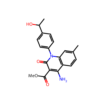 COC(=O)c1c(N)c2ccc(C)cc2n(-c2ccc(C(C)O)cc2)c1=O